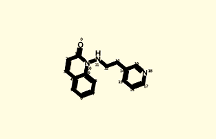 O=c1ccc2ccccc2n1NCCc1cccnc1